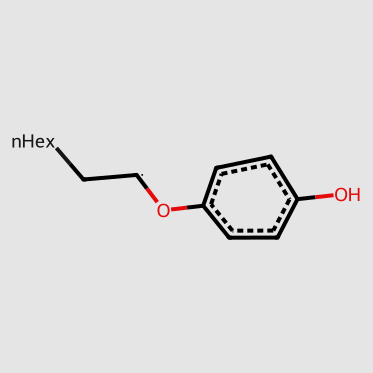 CCCCCCC[CH]Oc1ccc(O)cc1